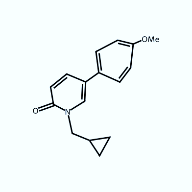 COc1ccc(-c2ccc(=O)n(CC3CC3)c2)cc1